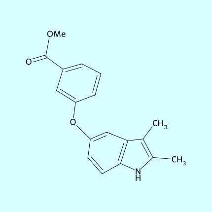 COC(=O)c1cccc(Oc2ccc3[nH]c(C)c(C)c3c2)c1